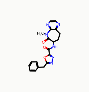 CN1C(=O)C(NC(=O)c2nnc(Cc3ccccc3)o2)CCc2nccnc21